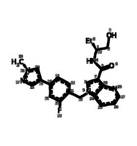 CC[C@@H](CO)NC(=O)c1cn(Cc2ccc(-c3cnn(C)c3)cc2F)c2cccnc12